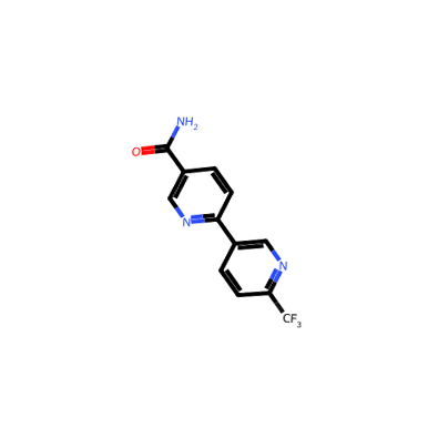 NC(=O)c1ccc(-c2ccc(C(F)(F)F)nc2)nc1